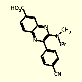 CC(C)N(C)c1nc2cc(C(=O)O)ccc2nc1-c1ccc(C#N)cc1